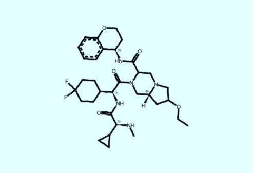 CCOC1C[C@@H]2CN(C(=O)[C@@H](NC(=O)[C@@H](NC)C3CC3)C3CCC(F)(F)CC3)C(C(=O)N[C@@H]3CCOc4ccccc43)CN2C1